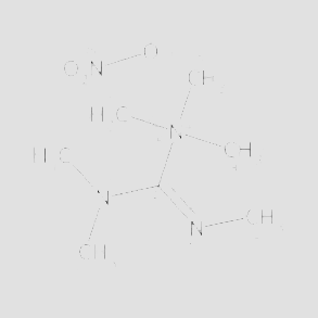 CN=C(N(C)C)[N+](C)(C)C.O=[N+]([O-])[O-]